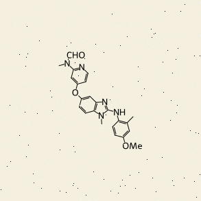 COc1ccc(Nc2nc3cc(Oc4ccnc(N(C)C=O)c4)ccc3n2C)c(C)c1